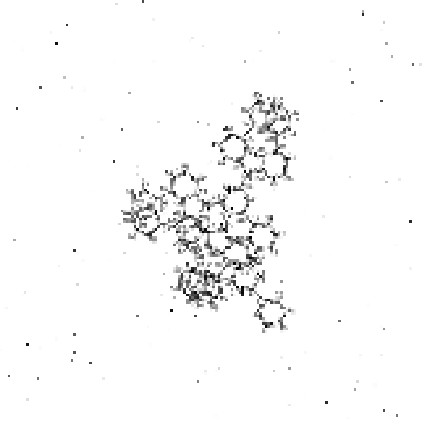 c1ccc(-c2nc(-c3ccccc3)nc(-c3cccc(-c4cc(-n5c6cccc(-c7ccccc7)c6c6c(-c7ccccc7)cccc65)nc(-n5c6cccc(-c7ccccc7)c6c6c(-c7ccccc7)cccc65)c4-n4c5cccc(-c6ccccc6)c5c5c(-c6ccccc6)cccc54)c3)n2)cc1